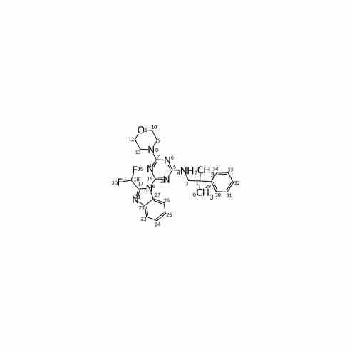 CC(C)(CNc1nc(N2CCOCC2)nc(-n2c(C(F)F)nc3ccccc32)n1)c1ccccc1